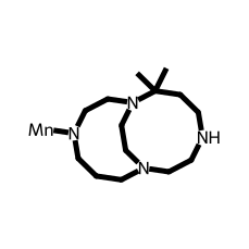 CC1(C)CCNCCN2CCC[N]([Mn])CCN1CC2